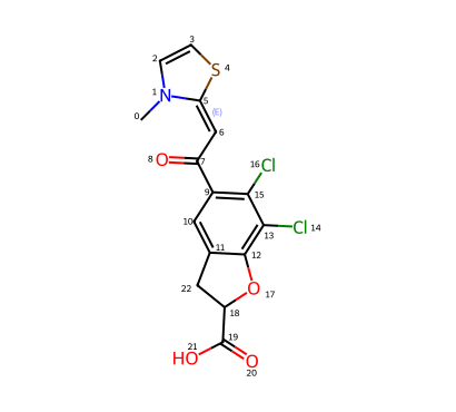 CN1C=CS/C1=C/C(=O)c1cc2c(c(Cl)c1Cl)OC(C(=O)O)C2